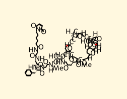 C=C1C[C@@H]2CC[C@@]3(O)C[C@H]4OC5[C@@H]6[C@@H](O[C@H]7CC[C@H](CC(=O)C[C@@H]8[C@@H](OC)[C@@H](C[C@@H](CNC(=O)[C@@H](O)OCNC(=O)CNC(=O)[C@H](Cc9ccccc9)NC(=O)CNC(=O)CNC(=O)CCCCCN9C(=O)C=CC9=O)OC)O[C@H]8C[C@H]8O[C@H](CCC8=C)CC[C@@H]1O2)O[C@@H]7[C@@H]6O3)[C@@H]54